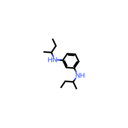 CCC(C)Nc1cccc(NC(C)CC)c1